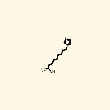 CC(O)CCCCCCCCn1ccnc1